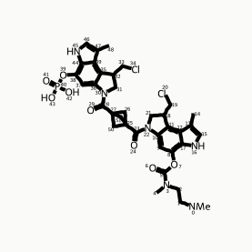 CNCCN(C)C(=O)Oc1cc2c(c3c(C)c[nH]c13)C(CCl)CN2C(=O)C12CC(C(=O)N3CC(CCl)c4c3cc(OP(=O)(O)O)c3[nH]cc(C)c43)(C1)C2